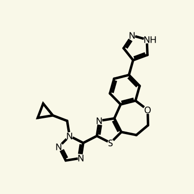 c1nc(-c2nc3c(s2)CCOc2cc(-c4cn[nH]c4)ccc2-3)n(CC2CC2)n1